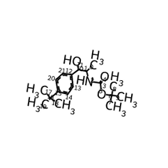 CC(NC(=O)OC(C)(C)C)C(O)c1ccc(C(C)(C)C)cc1